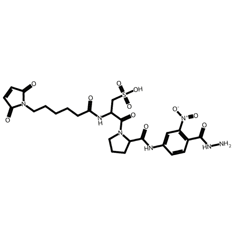 NNC(=O)c1ccc(NC(=O)C2CCCN2C(=O)C(CS(=O)(=O)O)NC(=O)CCCCCN2C(=O)C=CC2=O)cc1[N+](=O)[O-]